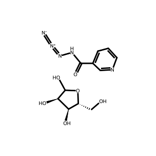 OC[C@H]1OC(O)[C@H](O)[C@@H]1O.[N-]=[N+]=NNC(=O)c1cccnc1